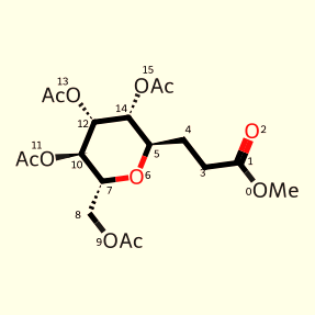 COC(=O)CC[C@H]1O[C@H](COC(C)=O)[C@@H](OC(C)=O)[C@H](OC(C)=O)[C@@H]1OC(C)=O